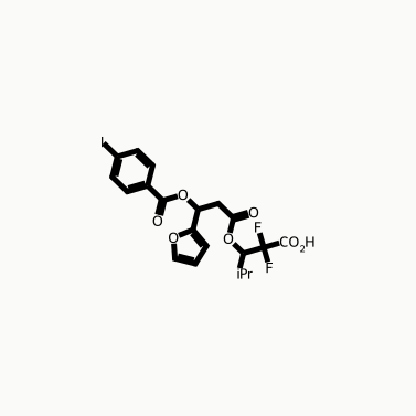 CC(C)C(OC(=O)CC(OC(=O)c1ccc(I)cc1)c1ccco1)C(F)(F)C(=O)O